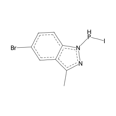 Cc1nn(PI)c2ccc(Br)cc12